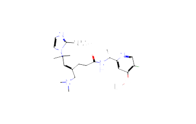 CCOc1cc([C@H](C)NC(=O)CC/C(=C\C(C)(C)n2ccnc2NC)CN(C)C)ncc1F